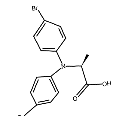 C[C@@H](C(=O)O)N(c1ccc(Br)cc1)c1ccc(Br)cc1